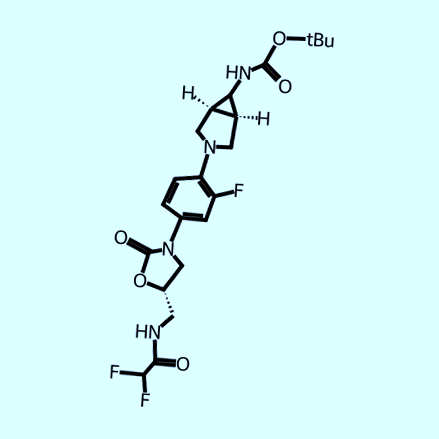 CC(C)(C)OC(=O)NC1[C@H]2CN(c3ccc(N4C[C@H](CNC(=O)C(F)F)OC4=O)cc3F)C[C@@H]12